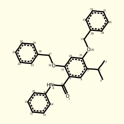 CC(C)c1cc(C(=O)Nc2ccccc2)c(OCc2ccccc2)cc1OCc1ccccc1